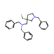 FCC1(CN(Cc2ccccc2)Cc2ccccc2)CCN(Cc2ccccc2)C1